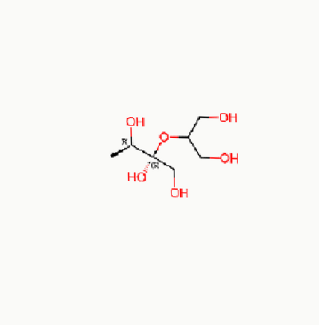 C[C@@H](O)[C@](O)(CO)OC(CO)CO